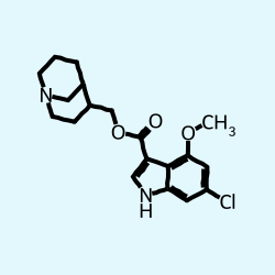 COc1cc(Cl)cc2[nH]cc(C(=O)OCC3CCN4CCCC3C4)c12